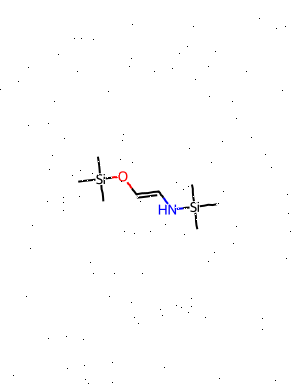 C[Si](C)(C)NC=CO[Si](C)(C)C